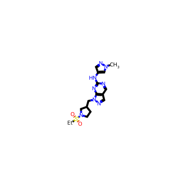 CCS(=O)(=O)N1CCC(Cn2ncc3cnc(Nc4cnn(C)c4)nc32)C1